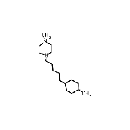 C[C]1CCC(CCCCCN2CCN(C)CC2)CC1